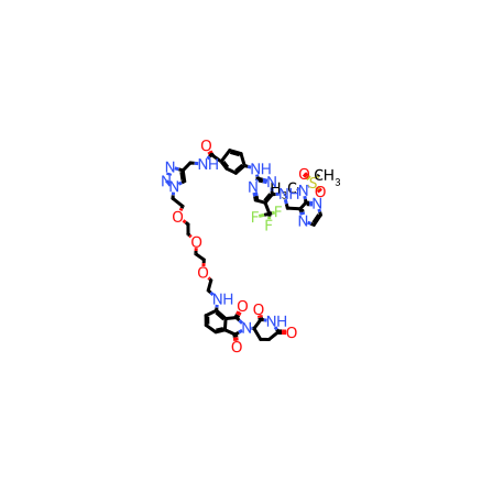 CN(c1nccnc1CNc1nc(Nc2ccc(C(=O)NCc3cn(CCOCCOCCOCCNc4cccc5c4C(=O)N(C4CCC(=O)NC4=O)C5=O)nn3)cc2)ncc1C(F)(F)F)S(C)(=O)=O